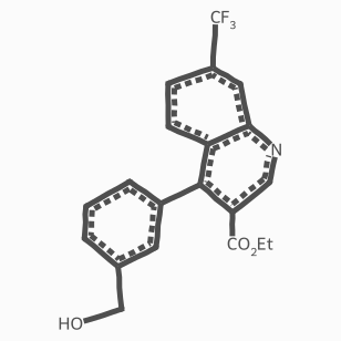 CCOC(=O)c1cnc2cc(C(F)(F)F)ccc2c1-c1cccc(CO)c1